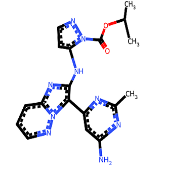 Cc1nc(N)cc(-c2c(Nc3ccnn3C(=O)OC(C)C)nc3cccnn23)n1